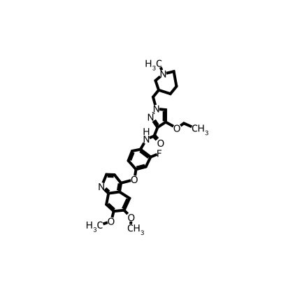 CCOc1cn(CC2CCCN(C)C2)nc1C(=O)Nc1ccc(Oc2ccnc3cc(OC)c(OC)cc23)cc1F